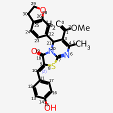 C=C(OC)C1=C(C)N=c2s/c(=C\c3ccc(O)cc3)c(=O)n2C1c1ccc2c(c1)OCC2